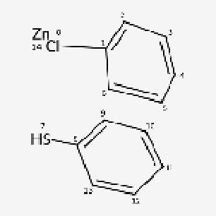 Clc1ccccc1.Sc1ccccc1.[Zn]